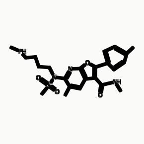 CNC(=O)c1c(-c2ccc(C)cc2)oc2nc(N(CCCCPC)S(C)(=O)=O)c(C)cc12